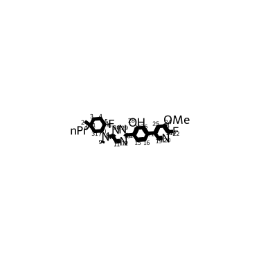 CCC[C@]1(C)CC[C@H](F)[C@H](N(C)c2cnc(-c3ccc(-c4cnc(F)c(OC)c4)cc3O)nn2)C1